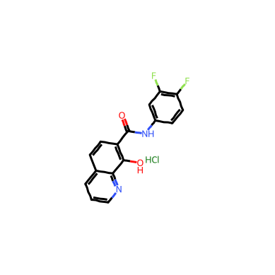 Cl.O=C(Nc1ccc(F)c(F)c1)c1ccc2cccnc2c1O